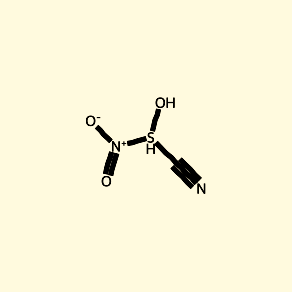 N#C[SH](O)[N+](=O)[O-]